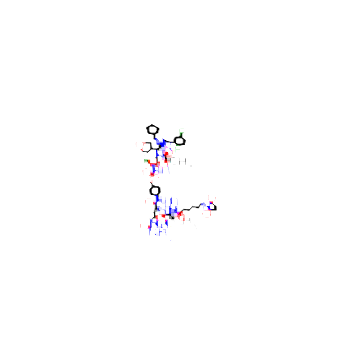 CC(C)[C@H](NC(=O)CCCCCN1C(=O)C=CC1=O)C(=O)N[C@@H](CCCNC(N)=O)C(=O)Nc1ccc(COC(=O)N[C@H](CF)CCN(C(=O)[C@H](C)O)[C@@H](c2nc(-c3cc(F)ccc3F)cn2Cc2ccccc2)C2CCOCC2)cc1